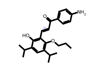 CCCOc1c(C(C)C)cc(C(C)C)c(O)c1/C=C/C(=O)c1ccc(N)cc1